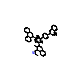 C/C=C\c1c(C)c(-c2nc(-c3ccc(-c4cnc5ccccc5c4)cc3)nc(-c3cc4ccccc4c4ccccc34)n2)cc2ccccc12